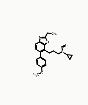 CCc1nc2ccc(-c3ccc(OC)cc3)c(CCCN(C=O)C3CC3)c2o1